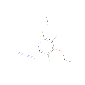 [N-]=[N+]=Nc1nc(OCC(F)(F)F)c(Cl)c(OCC(F)(F)F)c1F